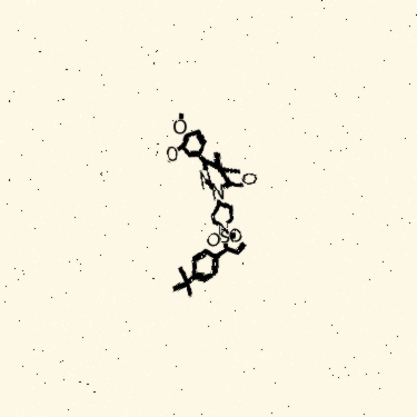 C=CC(c1ccc(C(C)(C)C)cc1)S(=O)(=O)N1CCC(N2N=C(c3ccc(OC)c(OC)c3)C(C)(C)C2C=O)CC1